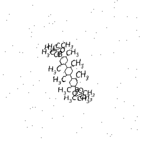 CC1CC(C2CC(C)C(C3CC(C)C(B4OC(C)(C)C(C)(C)O4)CC3C)CC2C)C(C)CC1B1OC(C)(C)C(C)(C)O1